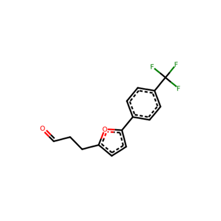 O=CCCc1ccc(-c2ccc(C(F)(F)F)cc2)o1